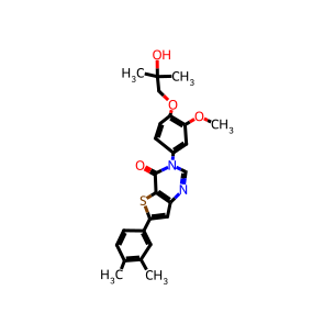 COc1cc(-n2cnc3cc(-c4ccc(C)c(C)c4)sc3c2=O)ccc1OCC(C)(C)O